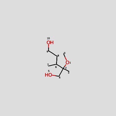 COC(C)(CO)C(C)CCO